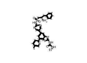 CCNC(=O)Nc1nc2cc(-c3cnc(NS(=O)(=O)C[C@@H](N)Cc4ccccc4)nc3)cc(-c3ccc(C)cn3)c2s1